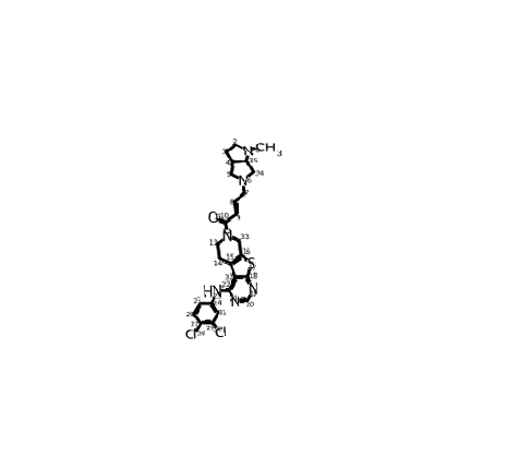 CN1CCC2CN(CC=CC(=O)N3CCc4c(sc5ncnc(Nc6ccc(Cl)c(Cl)c6)c45)C3)CC21